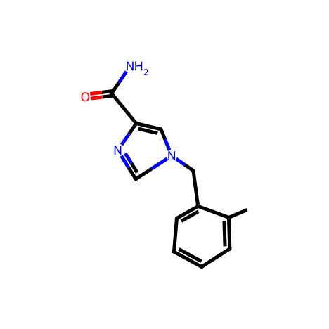 Cc1ccccc1Cn1cnc(C(N)=O)c1